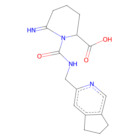 N=C1CCCC(C(=O)O)N1C(=O)NCc1cc2c(cn1)CCC2